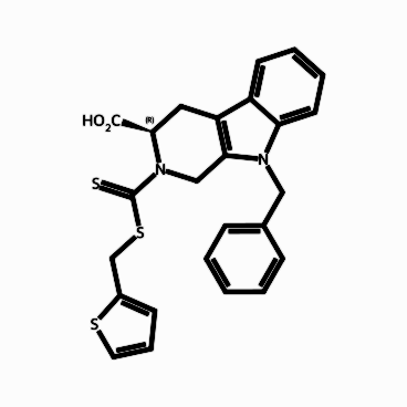 O=C(O)[C@H]1Cc2c(n(Cc3ccccc3)c3ccccc23)CN1C(=S)SCc1cccs1